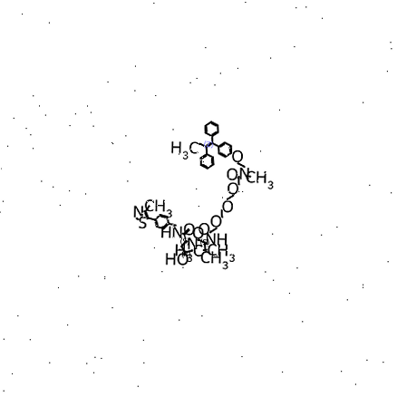 CC/C(=C(\c1ccccc1)c1ccc(OCCN(C)C(=O)COCCOCCOCC(=O)N[C@H](C(=O)N2C[C@H](O)C[C@H]2C(=O)NCc2ccc(-c3scnc3C)cc2)C(C)(C)C)cc1)c1ccccc1